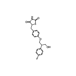 O=C1NC(=O)C(Cc2ccc(OCC(CO)c3ccc(F)cc3)cc2)S1